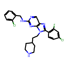 Fc1cc(Cl)ccc1-c1nc2cnc(NCc3ccccc3Cl)nc2n1CCC1CCNCC1